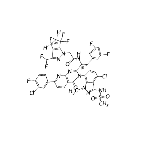 Cn1nc(NS(C)(=O)=O)c2c(Cl)ccc(-n3c([C@H](Cc4cc(F)cc(F)c4)NC(=O)Cn4nc(C(F)F)c5c4C(F)(F)[C@@H]4C[C@H]54)nc4nc(-c5ccc(F)c(Cl)c5)ccc4c3=O)c21